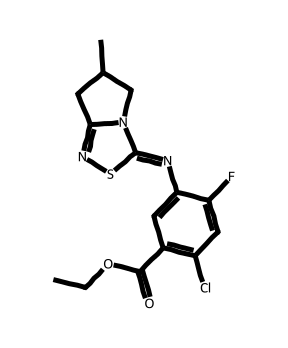 CCOC(=O)c1cc(N=c2snc3n2CC(C)C3)c(F)cc1Cl